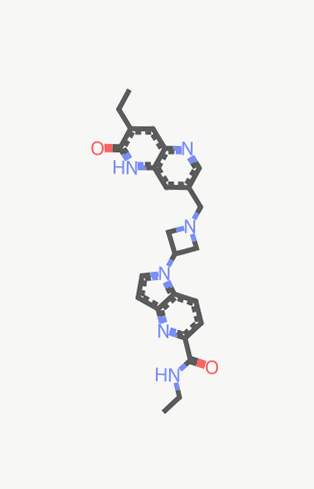 CCNC(=O)c1ccc2c(ccn2C2CN(Cc3cnc4cc(CC)c(=O)[nH]c4c3)C2)n1